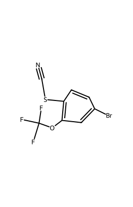 N#CSc1ccc(Br)cc1OC(F)(F)F